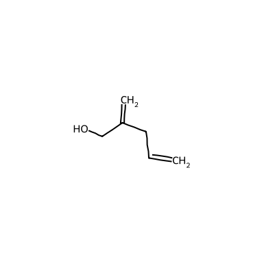 C=CCC(=C)CO